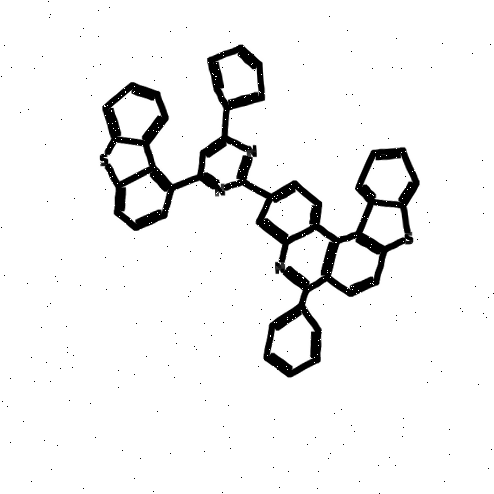 c1ccc(-c2cc(-c3cccc4sc5ccccc5c34)nc(-c3ccc4c(c3)nc(-c3ccccc3)c3ccc5sc6ccccc6c5c34)n2)cc1